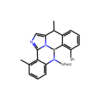 CCCCCN1B2c3c(C(C)C)cccc3C(C)c3cnc(n32)-c2c(C)cccc21